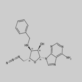 [N-]=[N+]=NC[C@H]1O[C@@H](n2cnc3c(N)ncnc32)[C@H](O)[C@@H]1NCc1ccccc1